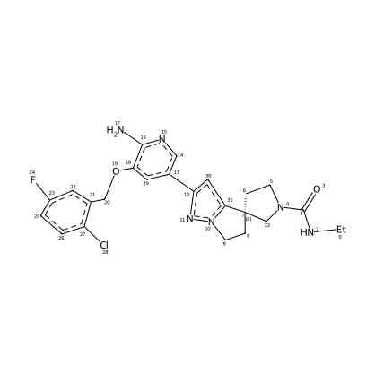 CCNC(=O)N1CC[C@@]2(CCn3nc(-c4cnc(N)c(OCc5cc(F)ccc5Cl)c4)cc32)C1